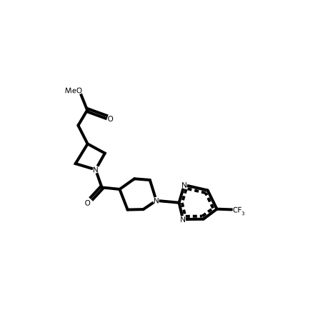 COC(=O)CC1CN(C(=O)C2CCN(c3ncc(C(F)(F)F)cn3)CC2)C1